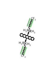 C[Si](C)(C#Cc1c2cc3ccccc3cc2c(C#C[Si](C)(C)CCC(F)(F)C(F)(F)C(F)(F)C(F)(F)C(F)(F)C(F)(F)F)c2cc3ccccc3cc12)CCC(F)(F)C(F)(F)C(F)(F)C(F)(F)C(F)(F)C(F)(F)F